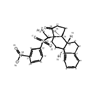 NC([C@]12CC[C@@H]3c4ccccc4CC[C@H]3[C@@H]1CCC2=O)S(=O)(=O)c1cccc([N+](=O)[O-])c1